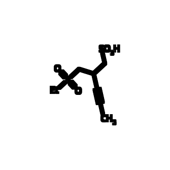 CC#CC(CS(=O)(=O)O)CS(=O)(=O)CC